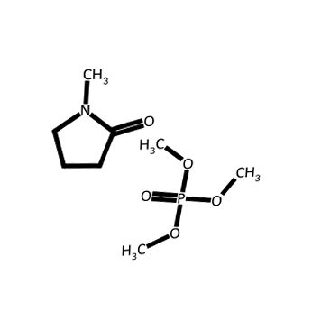 CN1CCCC1=O.COP(=O)(OC)OC